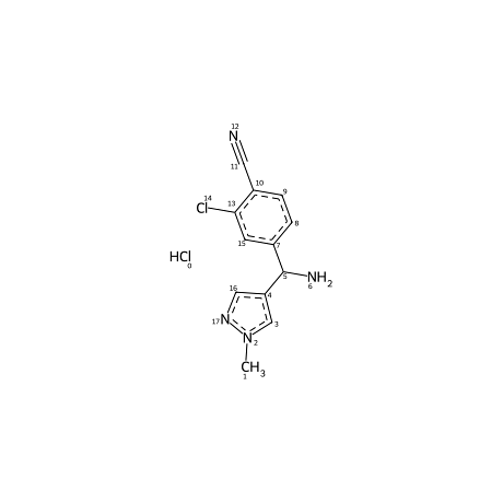 Cl.Cn1cc(C(N)c2ccc(C#N)c(Cl)c2)cn1